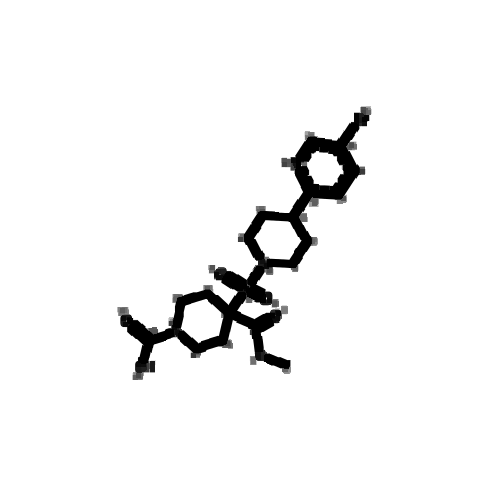 COC(=O)C1(S(=O)(=O)N2CCC(c3ccc(Br)cn3)CC2)CCN(C(=O)O)CC1